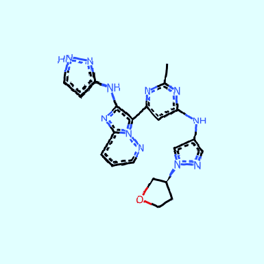 Cc1nc(Nc2cnn([C@H]3CCOC3)c2)cc(-c2c(Nc3cc[nH]n3)nc3cccnn23)n1